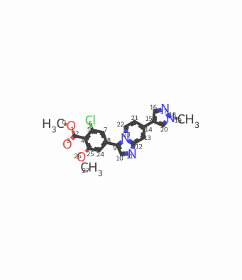 COC(=O)c1c(Cl)cc(-c2cnc3cc(-c4cnn(C)c4)ccn23)cc1OC